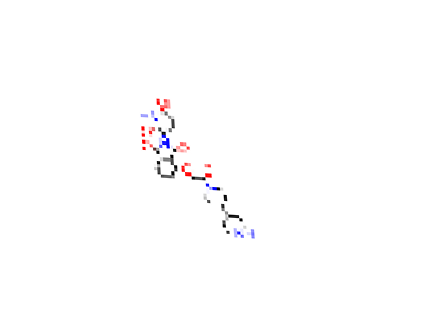 O=C1NC(O)CCC1N1C(=O)c2cccc(OCC(=O)N3CCC(C4CCNCC4)CC3)c2C1=O